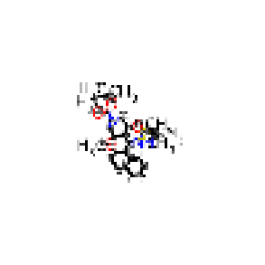 COc1ccc2ccccc2c1C(N[S@@+]([O-])C(C)(C)C)C1CCN(C(=O)OC(C)(C)C)CC1